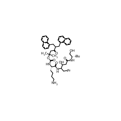 CCC(C)[C@@H](CO)NC(=O)CC(O)C(CC(C)C)NC(=O)[C@H](CCCCN)NC(=O)OC(C)(C)CC(=O)C(Cc1cccc2ccccc12)Cc1cccc2ccccc12